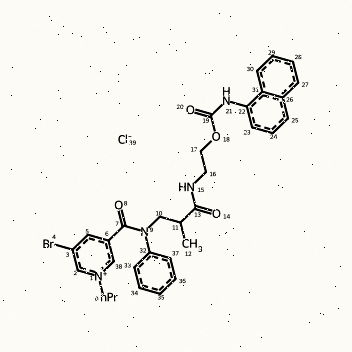 CCC[n+]1cc(Br)cc(C(=O)N(CC(C)C(=O)NCCOC(=O)Nc2cccc3ccccc23)c2ccccc2)c1.[Cl-]